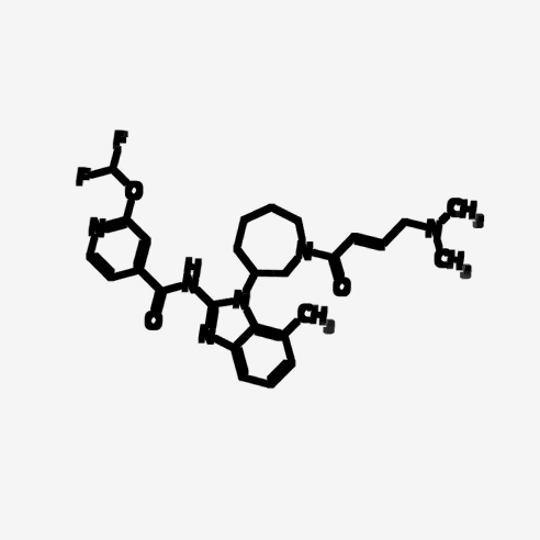 Cc1cccc2nc(NC(=O)c3ccnc(OC(F)F)c3)n(C3CCCCN(C(=O)C=CCN(C)C)C3)c12